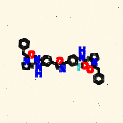 O=C(Nc1ccc(-c2ncc(-c3ccc4nc([C@@H]5CCCN5C(=O)Cc5ccccc5)[nH]c4c3)o2)cc1F)[C@@H]1CCCN1C(=O)Cc1ccccc1